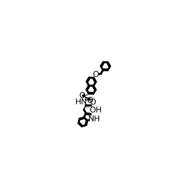 O=C(O)[C@@H](Cc1c[nH]c2ccccc12)NS(=O)(=O)c1ccc2cc(OCc3ccccc3)ccc2c1